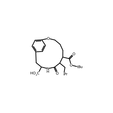 CC(C)CC1C(=O)NC(C(=O)O)Cc2ccc(cc2)OCCCC1C(=O)OC(C)(C)C